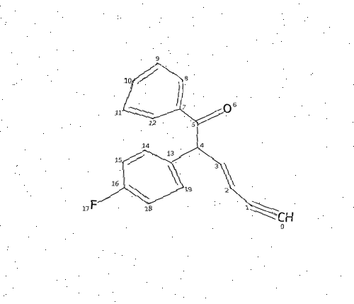 C#CC=CC(C(=O)c1ccccc1)c1ccc(F)cc1